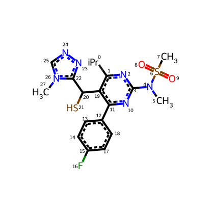 CC(C)c1nc(N(C)S(C)(=O)=O)nc(-c2ccc(F)cc2)c1C(S)c1nncn1C